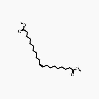 COC(=O)CCCCCCC/C=C\CCCCCCCCCC(=O)OC